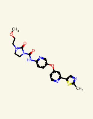 COCCN1CCN(C(=O)Nc2ccc(Oc3ccnc(-c4cnc(C)s4)c3)cn2)C1=O